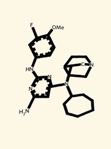 COc1ccc(Nc2nc(N)cc(N(C3CCCCCC3)C3CN4CCC3CC4)n2)cc1F